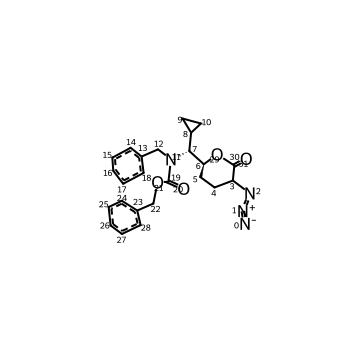 [N-]=[N+]=NC1CC[C@@H]([C@@H](C2CC2)N(Cc2ccccc2)C(=O)OCc2ccccc2)OC1=O